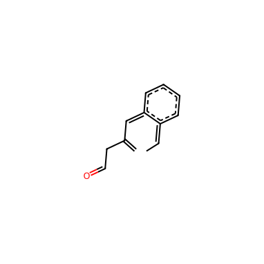 C=C(/C=c1/cccc/c1=C/C)CC=O